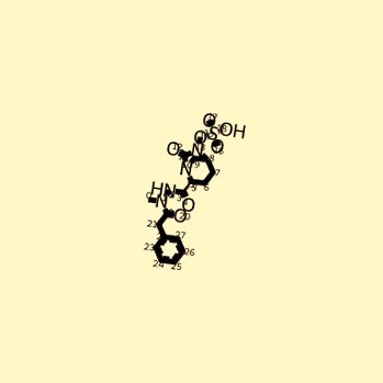 CN(NC(=O)[C@@H]1CCC2CN1C(=O)N2OS(=O)(=O)O)C(=O)Cc1ccccc1